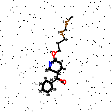 CSCSCCCOc1ccc(C(=O)c2ccccc2)cn1